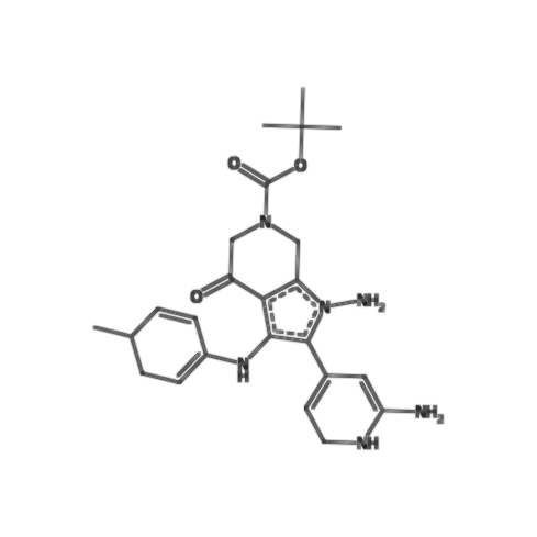 CC1C=CC(Nc2c3c(n(N)c2C2=CCNC(N)=C2)CN(C(=O)OC(C)(C)C)CC3=O)=CC1